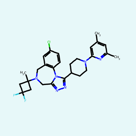 Cc1cc(C)nc(N2CCC(c3nnc4n3-c3ccc(Cl)cc3CN(C3(C)CC(F)(F)C3)C4)CC2)c1